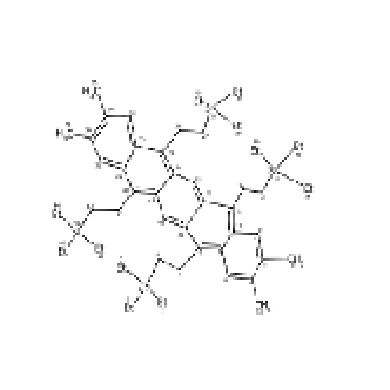 CC[Si](CC)(CC)CCc1c2cc(C)c(C)cc2c(CC[Si](CC)(CC)CC)c2cc3c(CC[Si](CC)(CC)CC)c4cc(C)c(C)cc4c(CC[Si](CC)(CC)CC)c3cc12